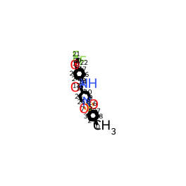 Cc1ccc(S(=O)(=O)N2CCC(C(=O)Nc3ccc(OC(F)F)cc3)CC2)cc1